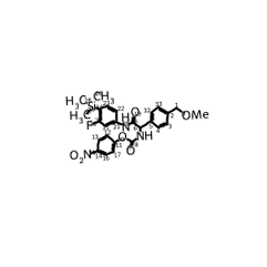 COCc1ccc(C(NC(=O)Oc2ccc([N+](=O)[O-])cc2)C(=O)Nc2ccc([Si](C)(C)C)c(F)c2)cc1